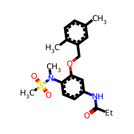 CCC(=O)Nc1ccc(N(C)S(C)(=O)=O)c(OCc2cc(C)ccc2C)c1